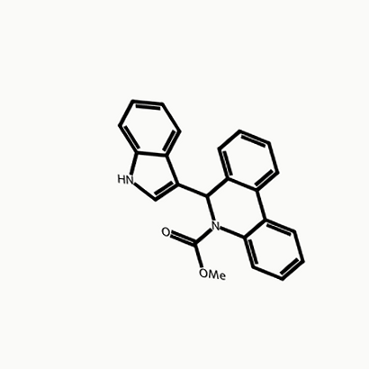 COC(=O)N1c2ccccc2-c2ccccc2C1c1c[nH]c2ccccc12